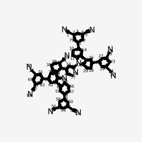 N#Cc1cc(C#N)cc(-c2ccc3c(c2)c2cc(-c4cc(C#N)cc(C#N)c4)ccc2n3-c2cc(-c3ccccc3C#N)c(-n3c4ccc(-c5cc(C#N)cc(C#N)c5)cc4c4cc(-c5cc(C#N)cc(C#N)c5)ccc43)cn2)c1